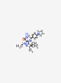 CCn1nc(C(C)(C)C)c2c1C(=O)NCC(c1ccc(N3CCCC3)cc1)=N2